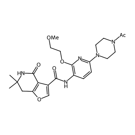 COCCOc1nc(N2CCN(C(C)=O)CC2)ccc1NC(=O)c1coc2c1C(=O)NC(C)(C)C2